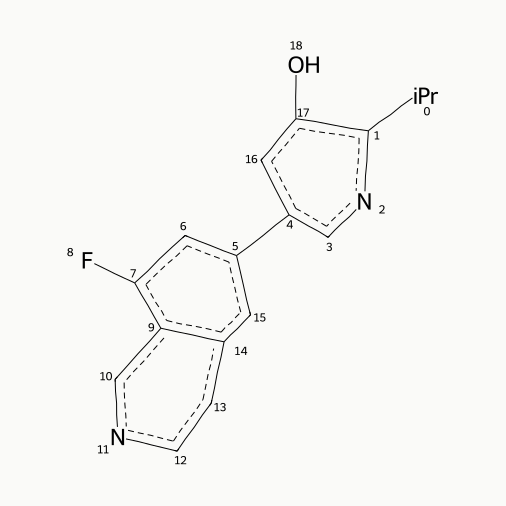 CC(C)c1ncc(-c2cc(F)c3cnccc3c2)cc1O